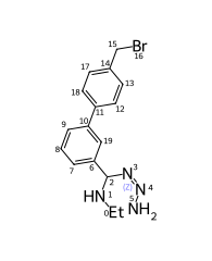 CCNC(/N=N\N)c1cccc(-c2ccc(CBr)cc2)c1